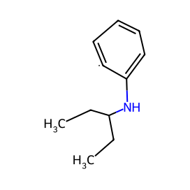 CCC(CC)Nc1[c]cccc1